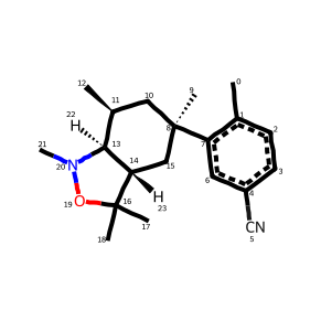 Cc1ccc(C#N)cc1[C@]1(C)C[C@H](C)[C@H]2[C@H](C1)C(C)(C)ON2C